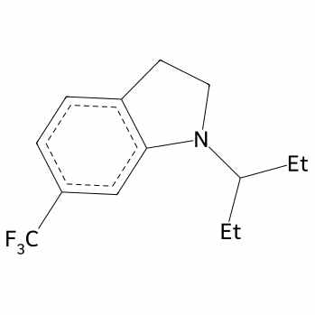 CCC(CC)N1CCc2ccc(C(F)(F)F)cc21